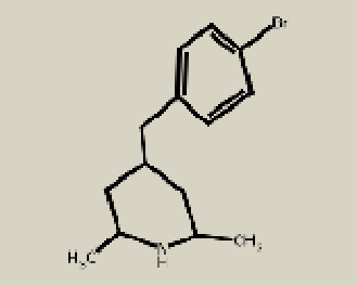 CC1CC(Cc2ccc(Br)cc2)CC(C)N1